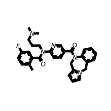 Cc1ccc(F)cc1C(=O)N(CCCN(C)C)c1ccc(C(=O)N2Cc3cccn3Cc3ccccc32)cn1